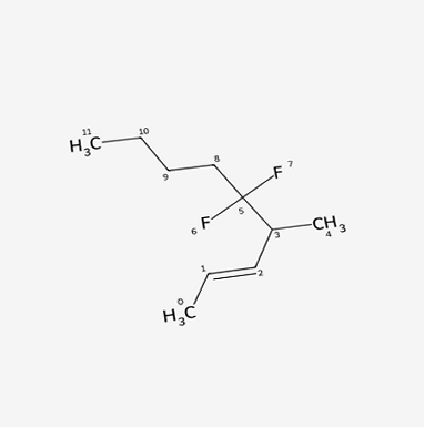 C/C=C/C(C)C(F)(F)CCCC